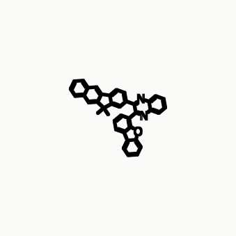 CC1(C)c2cc(-c3nc4ccccc4nc3-c3cccc4c3oc3ccccc34)ccc2-c2cc3ccccc3cc21